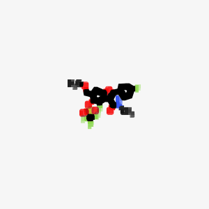 CNC(=O)c1c(-c2ccc(F)cc2)oc2cc(COC)c(OS(=O)(=O)C(F)(F)F)c(F)c12